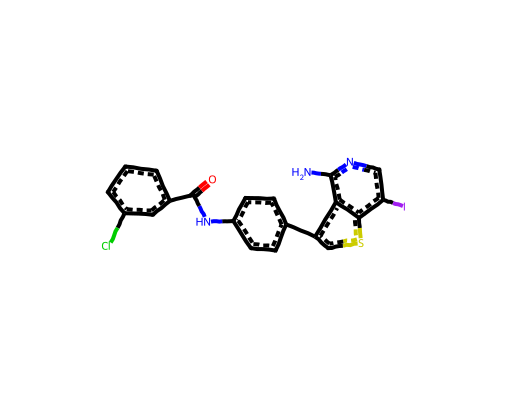 Nc1ncc(I)c2scc(-c3ccc(NC(=O)c4cccc(Cl)c4)cc3)c12